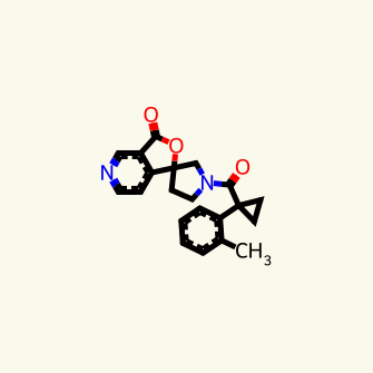 Cc1ccccc1C1(C(=O)N2CCC3(C2)OC(=O)c2cnccc23)CC1